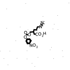 [N-]=[N+]=NCCCC(COC(=O)Oc1ccc([N+](=O)[O-])cc1)CC(=O)O